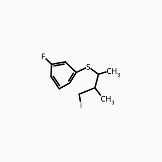 CC(CI)C(C)Sc1cccc(F)c1